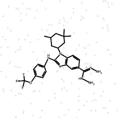 CC1CC(n2c(Nc3ccc(OC(F)(F)F)cc3)nc3cc(/C(=N/N)NN)ccc32)CC(C)(C)C1